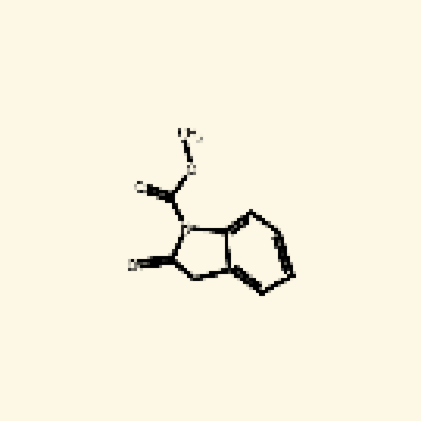 COC(=O)N1C(=O)Cc2ccccc21